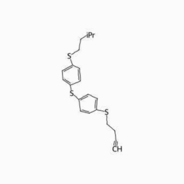 C#CCCSc1ccc(Sc2ccc(SCCC(C)C)cc2)cc1